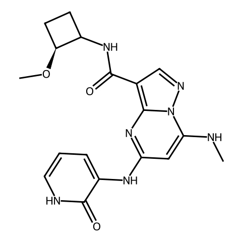 CNc1cc(Nc2ccc[nH]c2=O)nc2c(C(=O)NC3CC[C@@H]3OC)cnn12